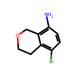 Nc1ccc(Br)c2c1COCC2